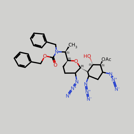 CC(=O)O[C@H]1C(N=[N+]=[N-])CC(N=[N+]=[N-])C([C@H]2O[C@H]([C@H](C)N(Cc3ccccc3)C(=O)OCc3ccccc3)CCC2N=[N+]=[N-])[C@@H]1O